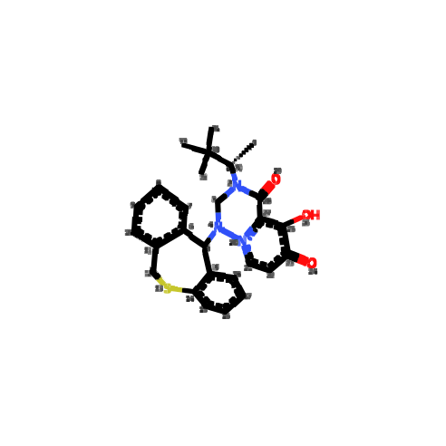 C[C@H](N1CN(C2c3ccccc3CSc3ccccc32)n2ccc(=O)c(O)c2C1=O)C(C)(C)C